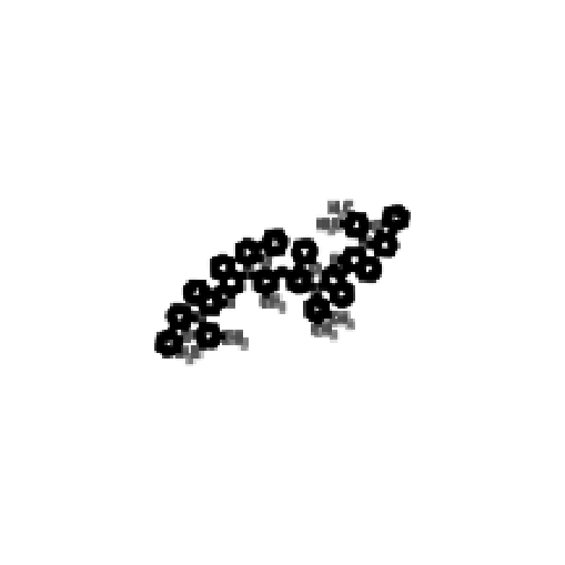 Cc1cc(C)cc(N(c2cc3sc4cc(N(c5cc(C)cc(Cc6ccc(N(c7ccc(C)c(C)c7)c7cc8sc9cc(N(c%10ccc(C)c(C)c%10)c%10cccc%11c%10oc%10ccccc%10%11)c%10ccccc%10c9c8c8ccccc78)c7oc8ccccc8c67)c5)c5cccc6c5oc5ccccc56)c5ccccc5c4c3c3ccccc23)c2cccc3c2oc2ccccc23)c1